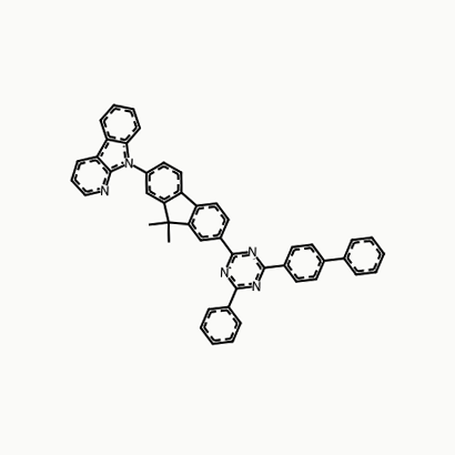 CC1(C)c2cc(-c3nc(-c4ccccc4)nc(-c4ccc(-c5ccccc5)cc4)n3)ccc2-c2ccc(-n3c4ccccc4c4cccnc43)cc21